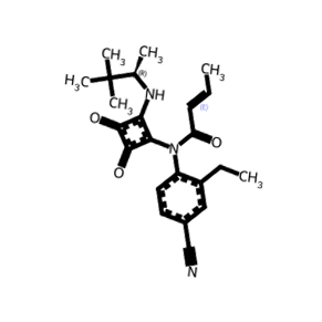 C/C=C/C(=O)N(c1ccc(C#N)cc1CC)c1c(N[C@H](C)C(C)(C)C)c(=O)c1=O